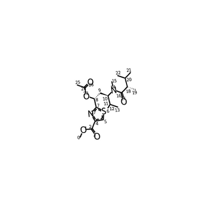 COC(=O)c1csc([C@@H](C[C@H](C(C)C)N(C)C(=O)[C@@H](C)C(C)C)OC(C)=O)n1